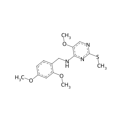 COc1ccc(CNc2nc(SC)ncc2OC)c(OC)c1